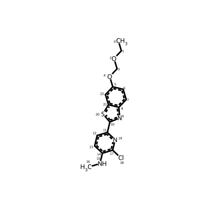 CCOCOc1ccc2nc(-c3ccc(NC)c(Cl)n3)sc2c1